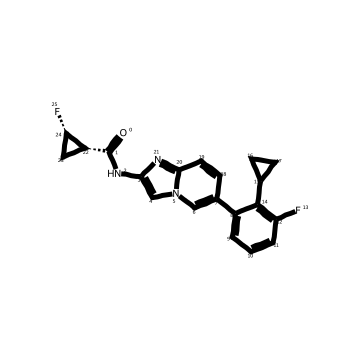 O=C(Nc1cn2cc(-c3cccc(F)c3C3CC3)ccc2n1)[C@@H]1C[C@@H]1F